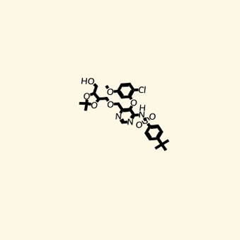 COc1ccc(Cl)c(Oc2c(COCC3OC(C)(C)OC3CO)ncnc2NS(=O)(=O)c2ccc(C(C)(C)C)cc2)c1